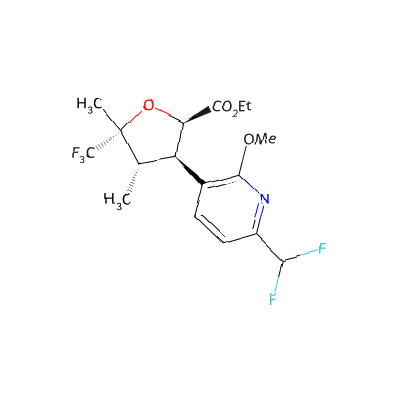 CCOC(=O)[C@@H]1O[C@@](C)(C(F)(F)F)[C@@H](C)[C@@H]1c1ccc(C(F)F)nc1OC